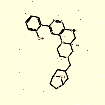 Oc1ccccc1-c1cc2c(nn1)NC[C@H]1CN(CC3CC4CCC(C3)N4)CCN21